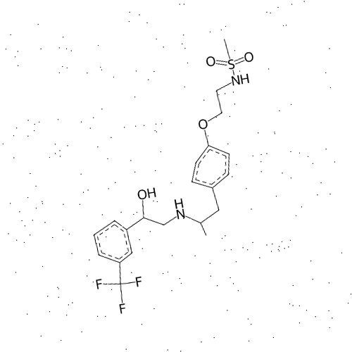 CC(Cc1ccc(OCCNS(C)(=O)=O)cc1)NCC(O)c1cccc(C(F)(F)F)c1